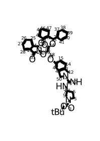 CC(C)(C)OC(=O)N1CC[C@@H](NC(=N)N2Cc3ccc(OC[C@H](ON4C(=O)c5ccccc5C4=O)C(=O)OC(c4ccccc4)c4ccccc4)cc3C2)C1